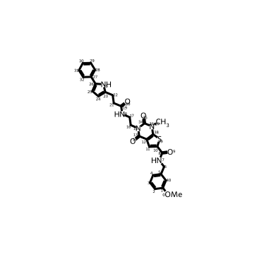 COc1cccc(CNC(=O)c2cc3c(=O)n(CCNC(=O)CCc4ccc(-c5ccccc5)[nH]4)c(=O)n(C)c3s2)c1